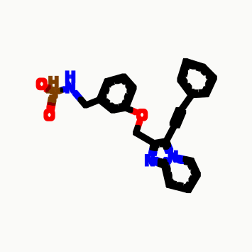 O=[SH](=O)NCc1cccc(OCc2nc3ccccn3c2C#Cc2ccccc2)c1